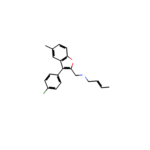 CC=CCNCc1oc2ccc(C)cc2c1-c1ccc(Cl)cc1.Cl